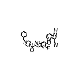 N#CC1=C2C(=CC=CN2Oc2ccc(CC(N)C(=O)N3CCN(Cc4ccccc4)CC3)cc2F)NC1